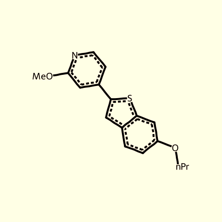 CCCOc1ccc2cc(-c3ccnc(OC)c3)sc2c1